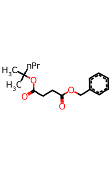 CCCC(C)(C)OC(=O)CCC(=O)OCc1ccccc1